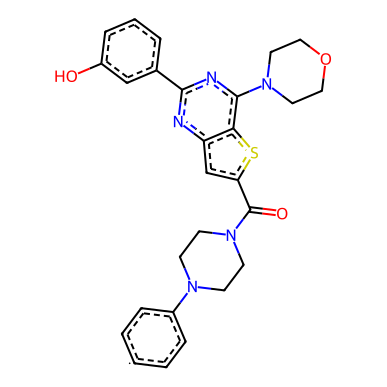 O=C(c1cc2nc(-c3cccc(O)c3)nc(N3CCOCC3)c2s1)N1CCN(c2cc[c]cc2)CC1